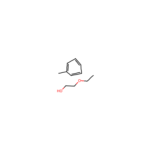 CCOCCO.Cc1ccccc1